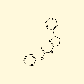 O=C(NC1=NC(c2ccccc2)CS1)Oc1ccccc1